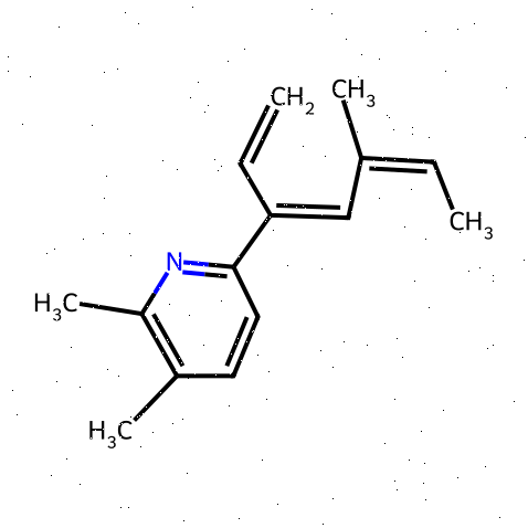 C=C/C(=C\C(C)=C/C)c1ccc(C)c(C)n1